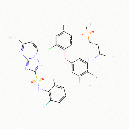 CP(=O)(O)CCC(N)C(=O)O.Cc1ccn2nc(S(=O)(=O)Nc3c(F)cccc3F)nc2n1.O=C(O)c1cc(Oc2ccc(C(F)(F)F)cc2Cl)ccc1[N+](=O)[O-]